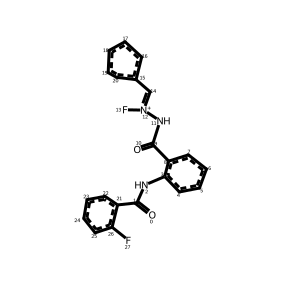 O=C(Nc1ccccc1C(=O)N[N+](F)=Cc1ccccc1)c1ccccc1F